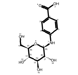 O=C(O)c1ccc(N[C@@H]2O[C@H](CO)[C@@H](O)[C@H](O)[C@H]2O)cc1